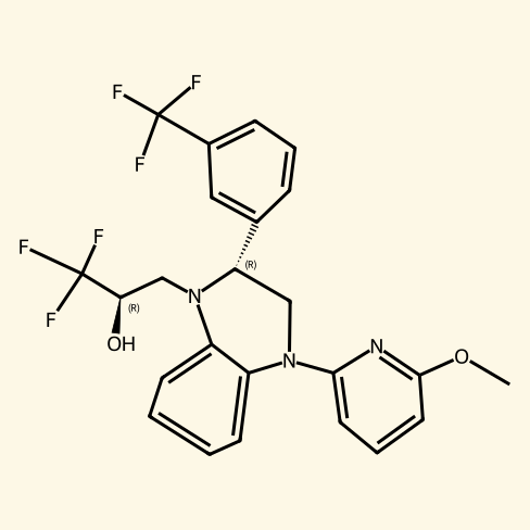 COc1cccc(N2C[C@@H](c3cccc(C(F)(F)F)c3)N(C[C@@H](O)C(F)(F)F)c3ccccc32)n1